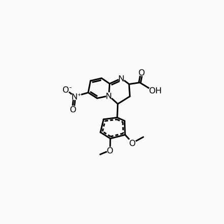 COc1ccc(C2CC(C(=O)O)N=C3C=CC([N+](=O)[O-])=CN32)cc1OC